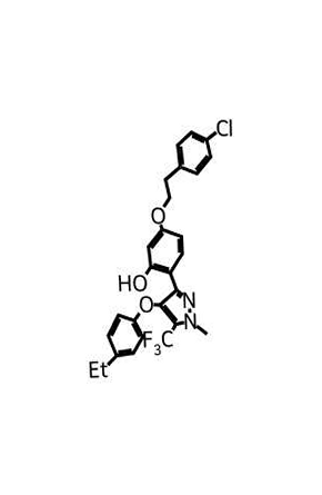 CCc1ccc(Oc2c(-c3ccc(OCCc4ccc(Cl)cc4)cc3O)nn(C)c2C(F)(F)F)cc1